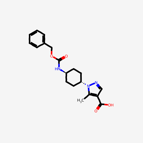 Cc1c(C(=O)O)cnn1[C@H]1CC[C@H](NC(=O)OCc2ccccc2)CC1